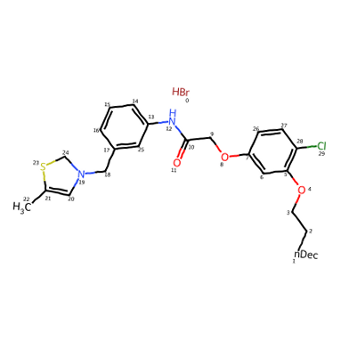 Br.CCCCCCCCCCCCOc1cc(OCC(=O)Nc2cccc(CN3C=C(C)SC3)c2)ccc1Cl